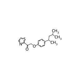 CC(C)CC(C)c1ccc(OCC(=O)c2nccs2)cc1